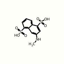 CNc1cc(S(=O)(=O)O)c2cccc(S(=O)(=O)O)c2c1